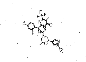 Cc1c(C(F)(F)F)nc2c(-c3ccc(F)cc3F)nc(N3CC(C)OC(c4cnn(C5CC5)c4)C3)cn2c1=O